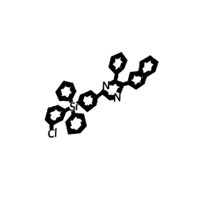 Clc1cccc([Si](c2ccccc2)(c2ccccc2)c2ccc(-c3cnc(-c4ccc5ccccc5c4)c(-c4ccccc4)n3)cc2)c1